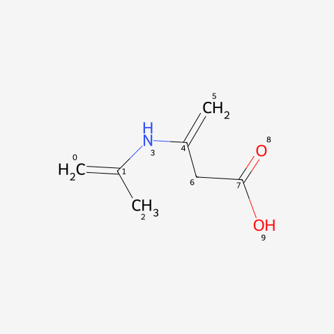 C=C(C)NC(=C)CC(=O)O